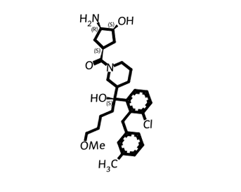 COCCCC[C@@](O)(c1cccc(Cl)c1Cc1cccc(C)c1)C1CCCN(C(=O)[C@H]2C[C@@H](N)[C@@H](O)C2)C1